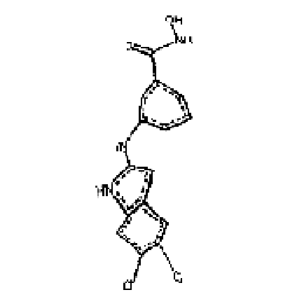 O=C(NO)c1cccc(Nc2cc3cc(Cl)c(Cl)cc3[nH]2)c1